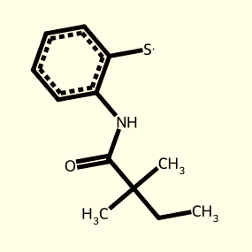 CCC(C)(C)C(=O)Nc1ccccc1[S]